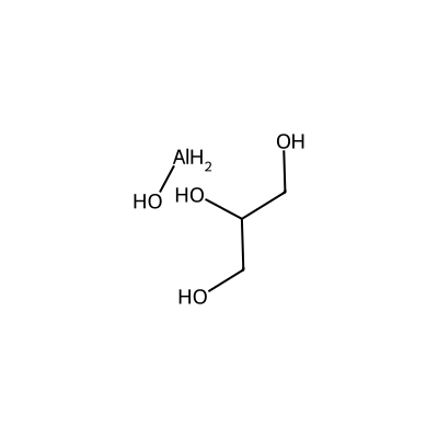 OCC(O)CO.[OH][AlH2]